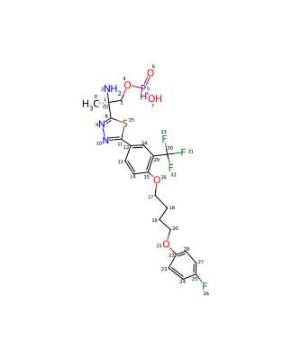 C[C@](N)(CO[PH](=O)O)c1nnc(-c2ccc(OCCCCOc3ccc(F)cc3)c(C(F)(F)F)c2)s1